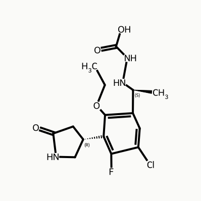 CCOc1c([C@H](C)NNC(=O)O)cc(Cl)c(F)c1[C@@H]1CNC(=O)C1